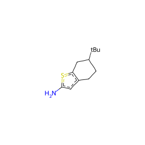 CC(C)(C)C1CCc2cc(N)sc2C1